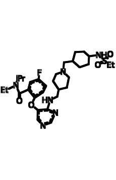 CCN(C(=O)c1cc(F)ccc1Oc1cncnc1NCC1CCN(CC2CCC(NS(=O)(=O)CC)CC2)CC1)C(C)C